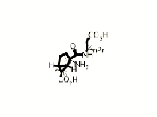 CCC[C@@H](CC(=O)O)NC(=O)[C@]1(N)CC[C@H]2[C@H](C(=O)O)[C@H]21